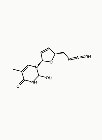 CC1=CN([C@H]2C=C[C@@H](CN=[N+]=N)O2)C(O)NC1=O